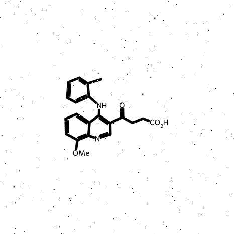 COc1cccc2c(Nc3ccccc3C)c(C(=O)CCC(=O)O)cnc12